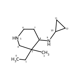 CCC1(C)CNCCC1NC1CC1